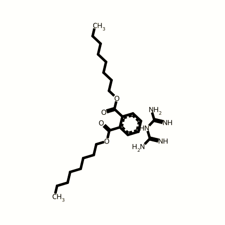 CCCCCCCCOC(=O)c1ccccc1C(=O)OCCCCCCCC.N=C(N)NC(=N)N